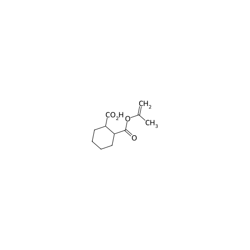 C=C(C)OC(=O)C1CCCCC1C(=O)O